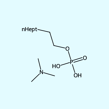 CCCCCCCCCOP(=O)(O)O.CN(C)C